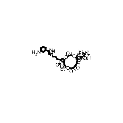 CCO[C@@H](O[C@@H]1[C@@H](C)C(=O)[C@@H](C)C(=O)O[C@H](CC)[C@@]2(C)OC(=O)N(CCCCn3cc(-c4cccc(N)c4)nn3)[C@@H]2[C@@H](C)OC(=O)[C@H](C)C[C@@]1(C)OC)C(O)C(CC)N(C)C